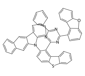 c1ccc(-c2nc(-c3cccc4oc5ccccc5c34)nc(-c3c(-n4c5ccccc5c5cc6ccccc6cc54)ccc4sc5ccccc5c34)n2)cc1